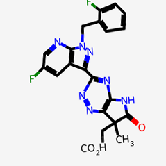 CC1(CC(=O)O)C(=O)Nc2nc(-c3nn(Cc4ccccc4F)c4ncc(F)cc34)nnc21